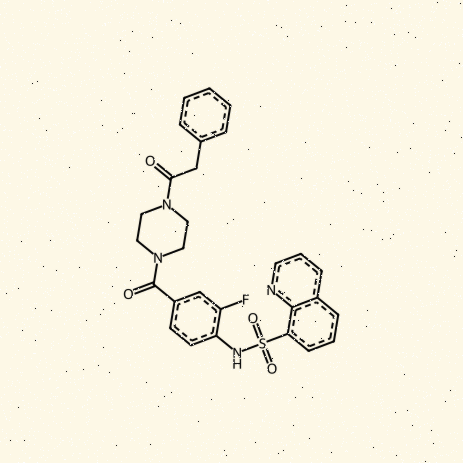 O=C(Cc1ccccc1)N1CCN(C(=O)c2ccc(NS(=O)(=O)c3cccc4cccnc34)c(F)c2)CC1